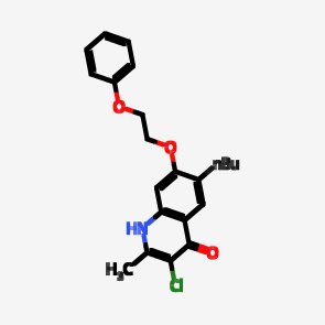 CCCCc1cc2c(=O)c(Cl)c(C)[nH]c2cc1OCCOc1ccccc1